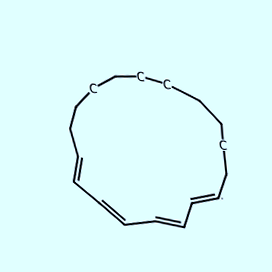 [C]1=C/C=C/C=C\C=C\CCCCCCCCCC/1